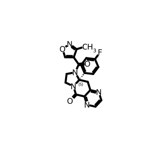 Cc1nocc1C(=O)N1CCN2C(=O)c3nccnc3C[C@]12c1ccc(F)cc1